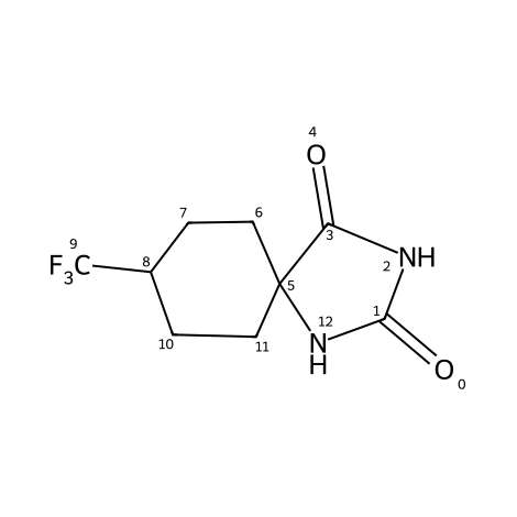 O=C1NC(=O)C2(CCC(C(F)(F)F)CC2)N1